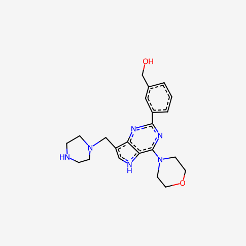 OCc1cccc(-c2nc(N3CCOCC3)c3[nH]cc(CN4CCNCC4)c3n2)c1